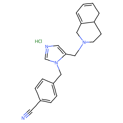 Cl.N#Cc1ccc(Cn2cncc2CN2CCC3CC=CC=C3C2)cc1